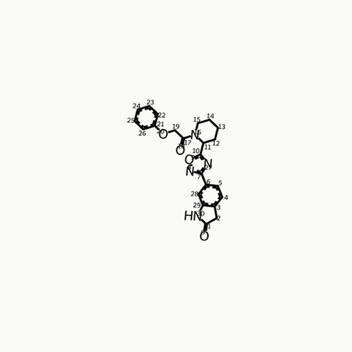 O=C1Cc2ccc(-c3noc(C4CCCCN4C(=O)COc4ccccc4)n3)cc2N1